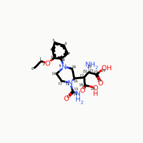 CCOc1ccccc1N1CCN(C(N)=O)C(C(C(=O)O)[C@H](N)C(=O)O)C1